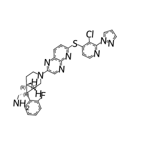 NC[C@]1(c2ccccc2F)[C@@H]2CCN(c3cnc4nc(Sc5ccnc(-n6cccn6)c5Cl)ccc4n3)C[C@@H]21